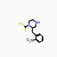 O=[N+]([O-])c1ccccc1CC1CNCCN1C(=S)S